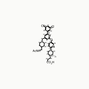 CC(=O)NCC1CCN(Cc2cc(Oc3ccc(N4CCN(CCC(=O)O)[C@@H](C)C4)nc3)nc(-c3cc(Cl)cc(Cl)c3)c2)CC1